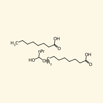 CCCC(O)O.CCCCCCCC(=O)O.CCCCCCCC(=O)O